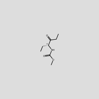 CCC(=O)[C@@H](CC)NC(=O)OC